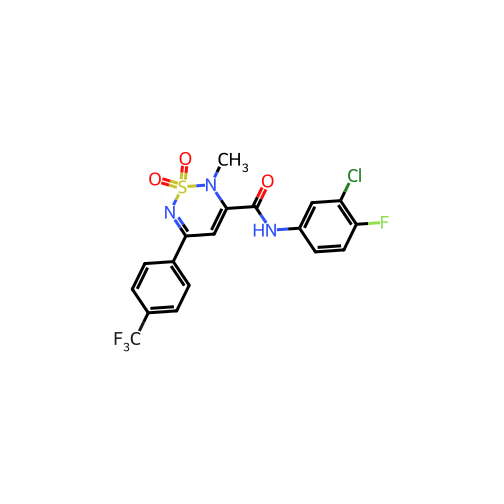 CN1C(C(=O)Nc2ccc(F)c(Cl)c2)=CC(c2ccc(C(F)(F)F)cc2)=NS1(=O)=O